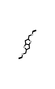 C=COCC1CC2OC(COC=C)CC2O1